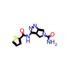 NC(=O)N1C=C2N=NC(NC(=O)c3cccs3)=C2C1